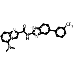 CN(C)c1cccc2nc(C(=O)Nc3nc4cc(-c5cccc(C(F)(F)F)c5)ccc4[nH]3)cn12